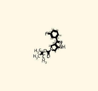 CC(C)(C)OC(=O)N1Cc2[nH]nc(-c3cccc(F)c3)c2C1